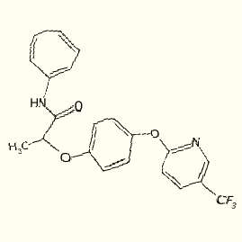 CC(Oc1ccc(Oc2ccc(C(F)(F)F)cn2)cc1)C(=O)Nc1ccccc1